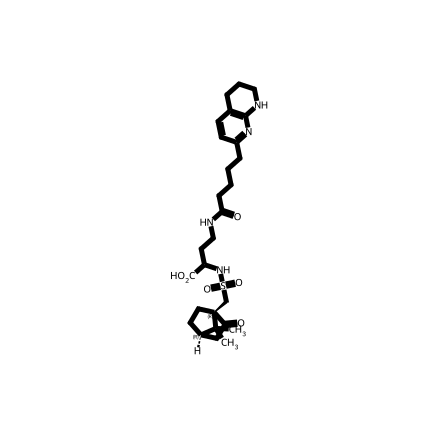 CC1(C)[C@@H]2CC[C@]1(CS(=O)(=O)NC(CCNC(=O)CCCCc1ccc3c(n1)NCCC3)C(=O)O)C(=O)C2